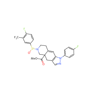 COC(=O)C12Cc3cnn(-c4ccc(F)cc4)c3C=C1CCN([S+]([O-])c1ccc(F)c(C(F)(F)F)c1)C2